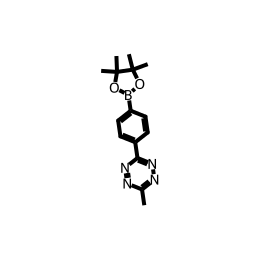 Cc1nnc(-c2ccc(B3OC(C)(C)C(C)(C)O3)cc2)nn1